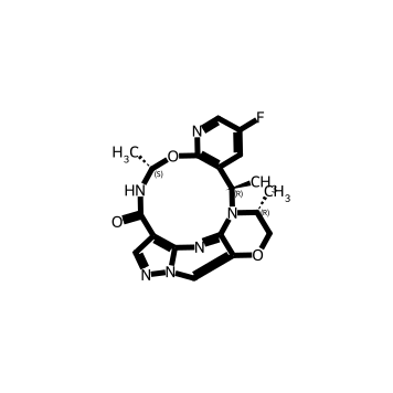 C[C@@H]1COc2cn3ncc4c3nc2N1[C@H](C)c1cc(F)cnc1O[C@@H](C)NC4=O